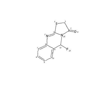 O=C1CSC2=Nc3ccccc3C(F)N12